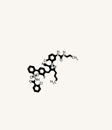 CCCCc1nn(-c2cc(NC(=O)NCCC)ccc2Cl)c(C#N)c1Cc1ccc(-c2ccccc2S(=O)(=O)NC(=O)c2ccccc2Cl)cc1F